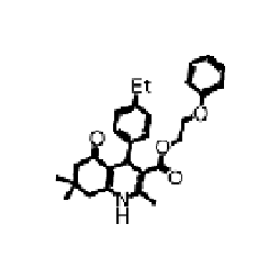 CCc1ccc(C2C(C(=O)OCCOc3ccccc3)=C(C)NC3=C2C(=O)CC(C)(C)C3)cc1